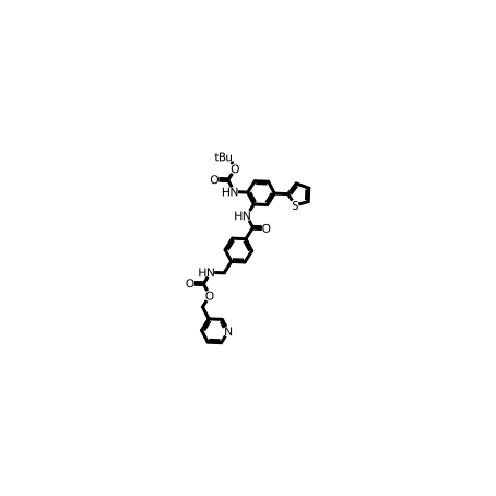 CC(C)(C)OC(=O)Nc1ccc(-c2cccs2)cc1NC(=O)c1ccc(CNC(=O)OCc2cccnc2)cc1